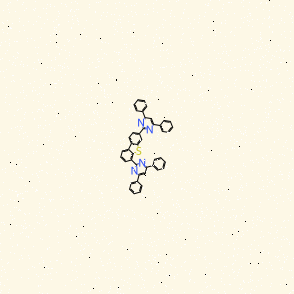 c1ccc(-c2cc(-c3ccccc3)nc(-c3ccc4c(c3)sc3c(-c5nc(-c6ccccc6)cc(-c6ccccc6)n5)cccc34)n2)cc1